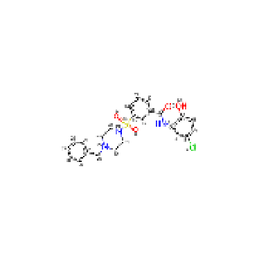 O=C(Nc1cc(Cl)ccc1O)c1cccc(S(=O)(=O)N2CCN(Cc3ccccc3)CC2)c1